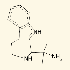 CC(C)(N)C1NCCc2c1[nH]c1ccccc21